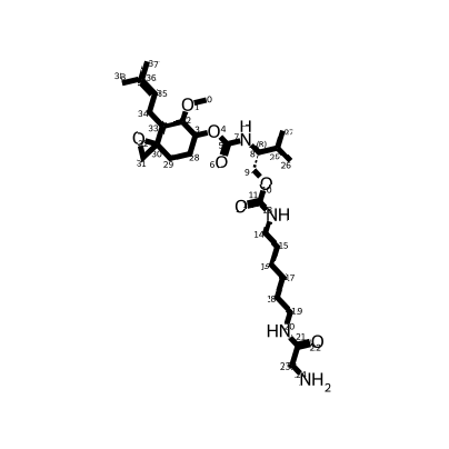 COC1C(OC(=O)N[C@@H](COC(=O)NCCCCCCNC(=O)CN)C(C)C)CCC2(CO2)C1CC=C(C)C